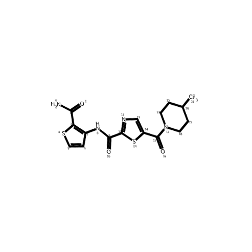 NC(=O)c1sccc1NC(=O)c1ncc(C(=O)N2CCC(C(F)(F)F)CC2)s1